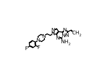 C=Cc1nc2c3cnn(CCN4CCN(c5ccc(F)cc5F)CC4)c3nc(N)n2n1